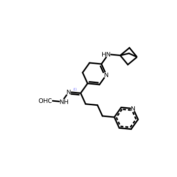 O=CN/N=C(\CCCc1cccnc1)C1=CN=C(NC23CC(C2)C3)CC1